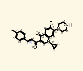 Cc1ccc(/C=C/C(=O)c2cn(C3CC3)c3cc(N4CCNCC4)c(F)cc3c2=O)cc1